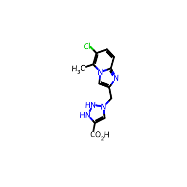 Cc1c(Cl)ccc2nc(CN3C=C(C(=O)O)NN3)cn12